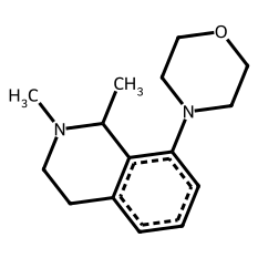 CC1c2c(cccc2N2CCOCC2)CCN1C